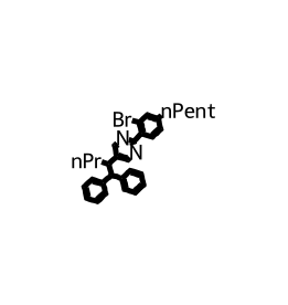 CCCCCc1ccc(-c2ncc(C(CCC)C(c3ccccc3)c3ccccc3)cn2)c(Br)c1